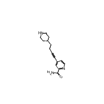 NC(=O)c1cc(C#CCCC2CCNCC2)ccn1